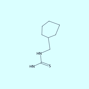 [NH]C(=S)NCC1CCCCC1